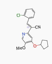 COc1cnc(/C(C#N)=C/c2ccccc2Cl)cc1OC1CCCC1